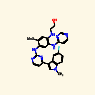 COc1cc(NCCO)c(Nc2ccncn2)cc1Nc1nccc(-c2cn(C)c3ccc(F)cc23)n1